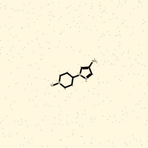 [2H]N1CCC(n2cc([N+](=O)[O-])cn2)CC1